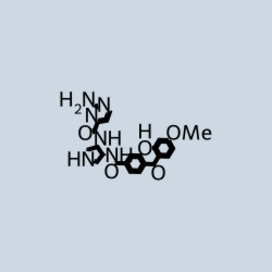 COc1ccc(C(=O)c2ccc(C(=O)N[C@@H]3CNC[C@H]3NC(=O)c3ccnc(N)n3)cc2)c(O)c1